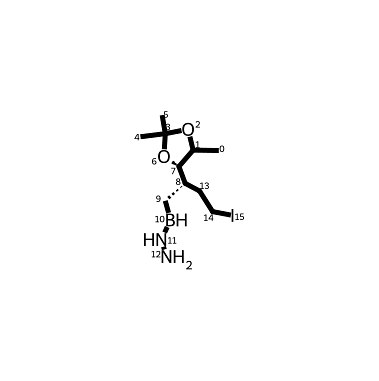 CC1OC(C)(C)O[C@H]1[C@@H](CBNN)CCI